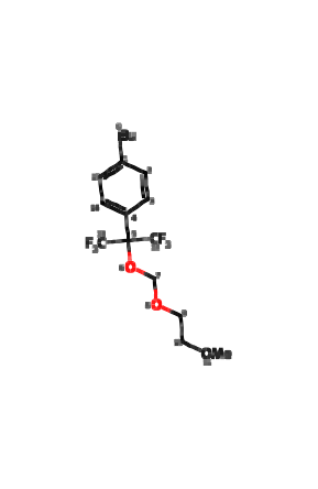 CCC(C)c1ccc(C(OCOCCOC)(C(F)(F)F)C(F)(F)F)cc1